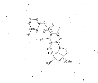 CO[C@@]1(CN(C)C)CCN(c2cc(F)c(S(=O)(=O)Nc3cccc(F)n3)c(F)c2Cl)C1